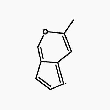 Cc1cc2[c]ccc-2co1